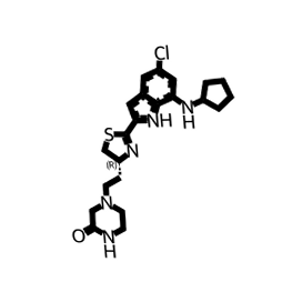 O=C1CN(CC[C@@H]2CSC(c3cc4cc(Cl)cc(NC5CCCC5)c4[nH]3)=N2)CCN1